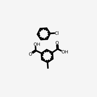 Cc1cc(C(=O)O)cc(C(=O)O)c1.Clc1ccccc1